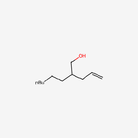 C=CCC(CO)CCCCCC